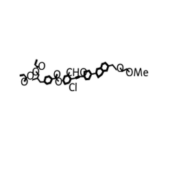 C=CC(=O)OCC(COC(=O)C=C)Cc1ccc(C(=O)Oc2cc(Cl)c(C#Cc3ccc(-c4ccc5cc(CCOCCOC)ccc5c4)cc3)c(C=O)c2)cc1